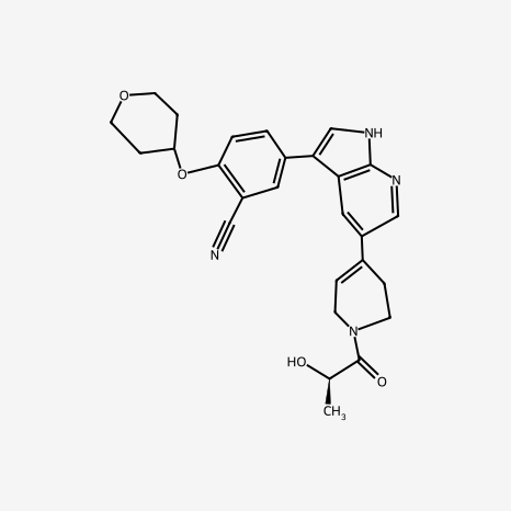 C[C@@H](O)C(=O)N1CC=C(c2cnc3[nH]cc(-c4ccc(OC5CCOCC5)c(C#N)c4)c3c2)CC1